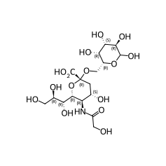 O=C(CO)N[C@H]1[C@H]([C@H](O)[C@H](O)CO)O[C@@](OC[C@H]2OC(O)[C@H](O)[C@@H](O)[C@H]2O)(C(=O)O)C[C@@H]1O